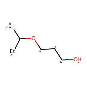 CCCC(CC)OCCCO